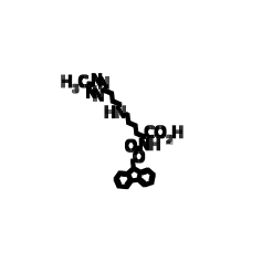 Cc1nnc(CCCNCCCCC(NC(=O)OCC2c3ccccc3-c3ccccc32)C(=O)O)nn1